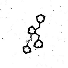 c1ccc(Cc2cccc(N=Nc3ccccc3)c2Cc2ccccc2)cc1